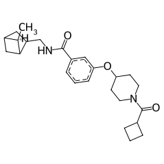 C[C@@H]1C2CC(CNC(=O)c3cccc(OC4CCN(C(=O)C5CCC5)CC4)c3)C1C2